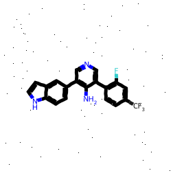 Nc1c(-c2ccc3[nH]ccc3c2)cncc1-c1ccc(C(F)(F)F)cc1F